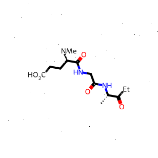 CCC(=O)[C@H](C)NC(=O)CNC(=O)[C@@H](CCC(=O)O)NC